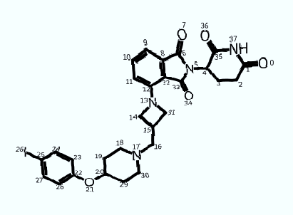 O=C1CCC(N2C(=O)c3cccc(N4CC(CN5CCC(Oc6ccc(I)cc6)CC5)C4)c3C2=O)C(=O)N1